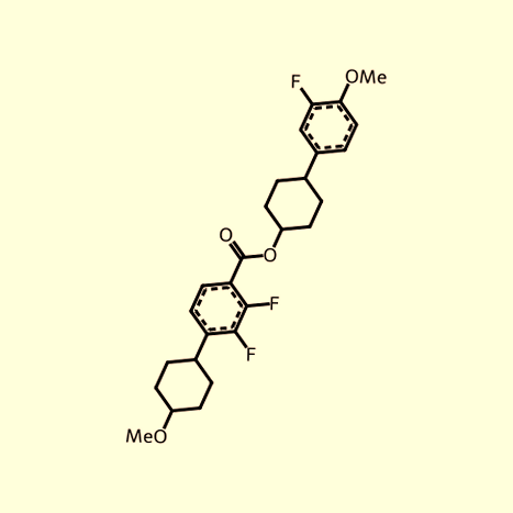 COc1ccc(C2CCC(OC(=O)c3ccc(C4CCC(OC)CC4)c(F)c3F)CC2)cc1F